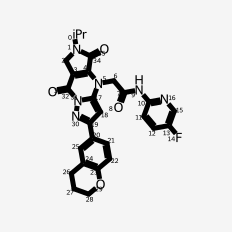 CC(C)N1Cc2c(n(CC(=O)Nc3ccc(F)cn3)c3cc(-c4ccc5c(c4)CCCO5)nn3c2=O)C1=O